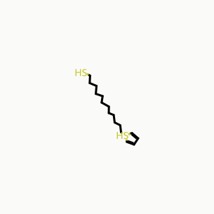 SCCCCCCCCCCCC[SH]1C=CC=C1